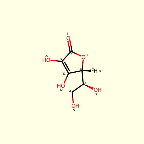 [2H][C@]1([C@@H](O)CO)OC(=O)C(O)=C1O